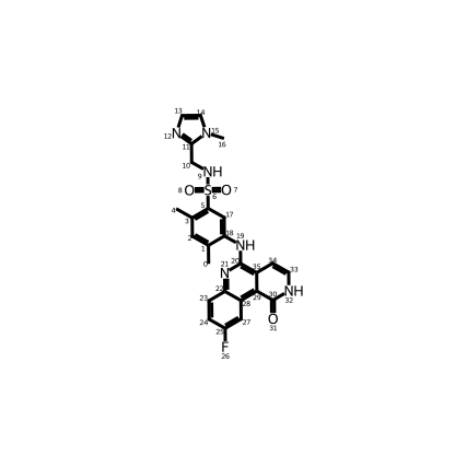 Cc1cc(C)c(S(=O)(=O)NCc2nccn2C)cc1Nc1nc2ccc(F)cc2c2c(=O)[nH]ccc12